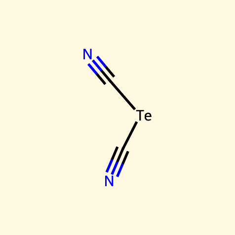 N#C[Te]C#N